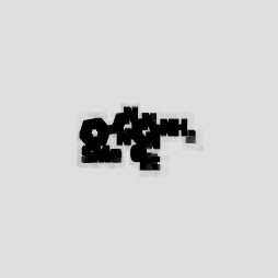 CCOc1nc(N)nc2ncc(-c3cccc(SC)c3)nc12